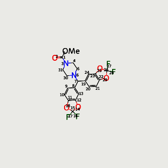 COC(=O)N1CCN(C(c2ccc3c(c2)OC(F)(F)O3)c2ccc3c(c2)OC(F)(F)O3)CC1